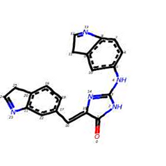 O=C1NC(Nc2ccc3c(c2)CC=N3)=N/C1=C\c1ccc2c(c1)N=CC2